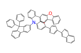 c1ccc(C2(c3ccccc3)c3ccccc3-c3ccc(N(c4ccc(-c5ccc(-c6ccc7ccccc7c6)cc5)cc4)c4ccccc4-c4ccc5c(c4)oc4ccccc45)cc32)cc1